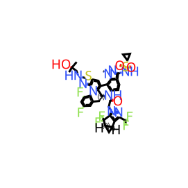 Cn1nc(NS(=O)(=O)C2CC2)c2cccc(-c3cc4sc(NCC(C)(C)O)nc4nc3[C@H](Cc3cc(F)cc(F)c3)NC(=O)Cn3nc(C(F)F)c4c3C(F)(F)[C@@H]3C[C@H]43)c21